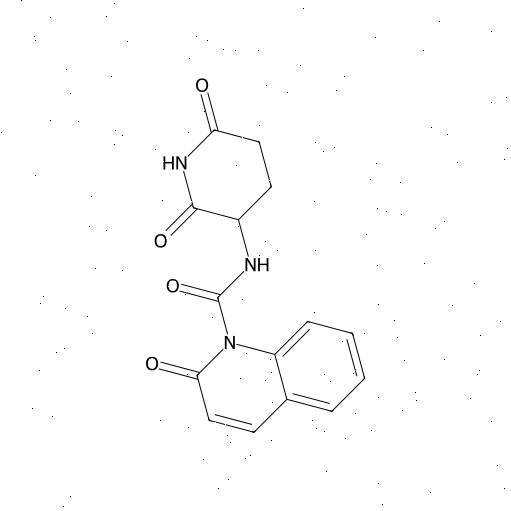 O=C1CCC(NC(=O)n2c(=O)ccc3ccccc32)C(=O)N1